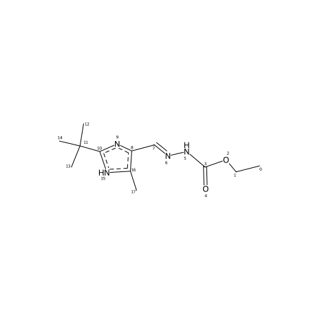 CCOC(=O)NN=Cc1nc(C(C)(C)C)[nH]c1C